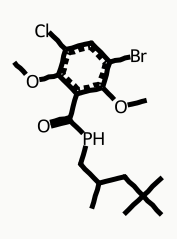 COc1c(Cl)cc(Br)c(OC)c1C(=O)PCC(C)CC(C)(C)C